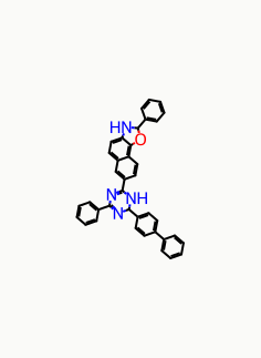 c1ccc(C2=NC(c3ccc(-c4ccccc4)cc3)NC(c3ccc4c5c(ccc4c3)NC(c3ccccc3)O5)=N2)cc1